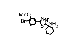 COc1cc(C2=NN(C)C(C3(N)CCCCC3)S2)ccc1Br